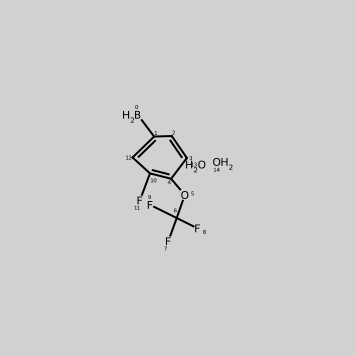 Bc1ccc(OC(F)(F)F)c(F)c1.O.O